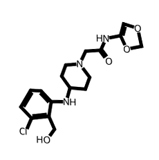 O=C(CN1CCC(Nc2cccc(Cl)c2CO)CC1)NC1=COCO1